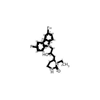 CCN1C(=O)NCCC1CC(O)Cn1c2ccc(F)cc2c2cc(F)ccc21